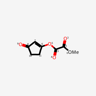 COC(=O)C(=O)OC1=CC(=O)CC1